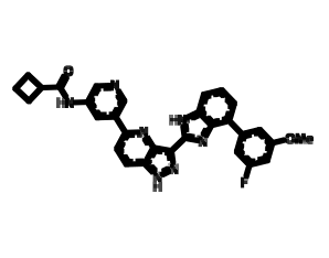 COc1cc(F)cc(-c2cccc3[nH]c(-c4n[nH]c5ccc(-c6cncc(NC(=O)C7CCC7)c6)nc45)nc23)c1